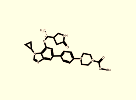 C[C@@H](Oc1cc(-c2ccc(N3CCN(C(=O)OC(C)(C)C)CC3)cc2)cc2ncn(C3CC3)c12)C1CNC(=O)C1